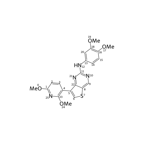 COc1ccc(-c2csc3cnc(Nc4ccc(OC)c(OC)c4)nc23)c(OC)n1